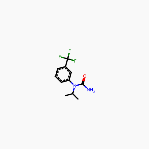 CC(C)N(C(N)=O)c1c[c]cc(C(F)(F)F)c1